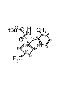 Cc1cccnc1[C@@H](NC(=O)OC(C)(C)C)c1ccc(C(F)(F)F)cc1